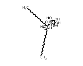 CCCCCCCCCCCCCCCCCC(=O)NC(CO[C@H]1O[C@H](CO)[C@H](O)[C@H](O)[C@H]1O)C(O)C(O)CCCCCCCCCCCCCC